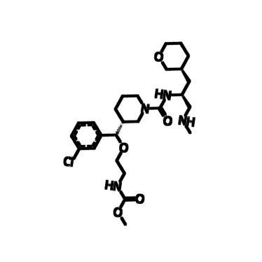 CNC[C@H](C[C@@H]1CCCOC1)NC(=O)N1CCC[C@@H](C(OCCNC(=O)OC)c2cccc(Cl)c2)C1